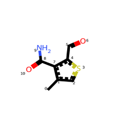 Cc1csc(C=O)c1C(N)=O